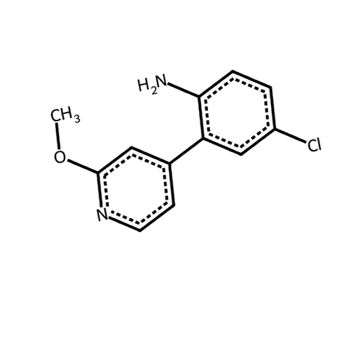 COc1cc(-c2cc(Cl)ccc2N)ccn1